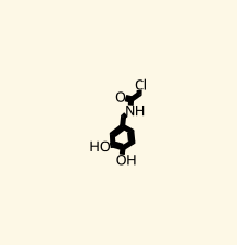 O=C(CCl)NCc1ccc(O)c(O)c1